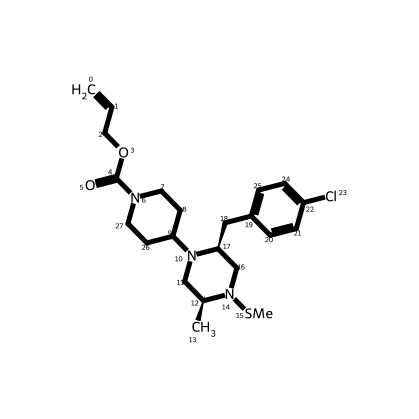 C=CCOC(=O)N1CCC(N2C[C@H](C)N(SC)C[C@@H]2Cc2ccc(Cl)cc2)CC1